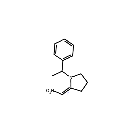 CC(c1ccccc1)N1CCC/C1=C/[N+](=O)[O-]